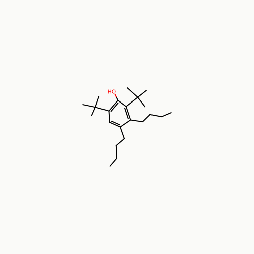 CCCCc1cc(C(C)(C)C)c(O)c(C(C)(C)C)c1CCCC